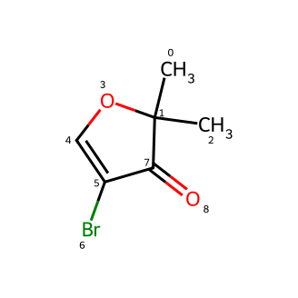 CC1(C)OC=C(Br)C1=O